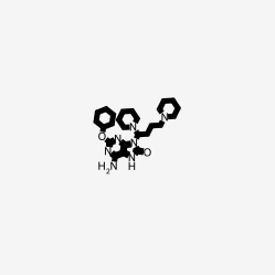 Nc1nc(OC2CCCCC2)nc2c1[nH]c(=O)n2C(CCCN1CCCCC1)N1CCCCC1